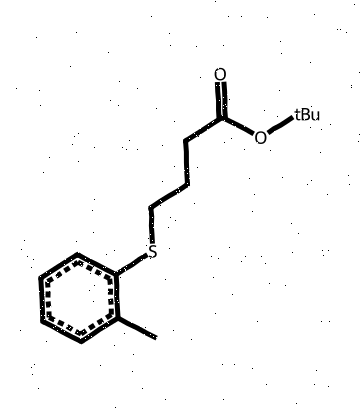 Cc1ccccc1SCCCC(=O)OC(C)(C)C